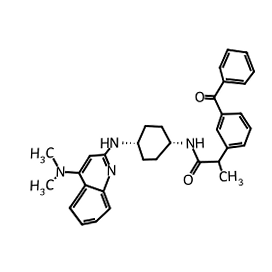 CC(C(=O)N[C@H]1CC[C@@H](Nc2cc(N(C)C)c3ccccc3n2)CC1)c1cccc(C(=O)c2ccccc2)c1